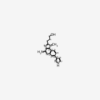 Cn1c(CCCO)nc2c(N)nc3cc(-c4cc[nH]n4)ccc3c21